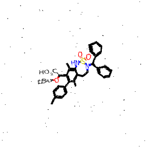 Cc1ccc(-c2c(C)c3c(c(C)c2[C@H](OC(C)(C)C)C(=O)O)NS(=O)(=O)N(C(c2ccccc2)c2ccccc2)CC3)cc1